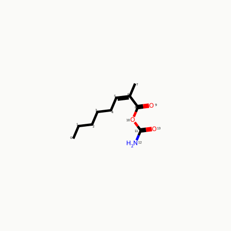 CCCCCC=C(C)C(=O)OC(N)=O